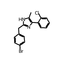 Cc1[nH]c(Cc2ccc(Br)cc2)nc1-c1ccccc1Cl